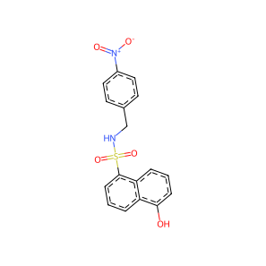 O=[N+]([O-])c1ccc(CNS(=O)(=O)c2cccc3c(O)cccc23)cc1